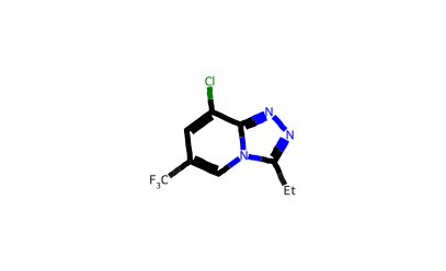 CCc1nnc2c(Cl)cc(C(F)(F)F)cn12